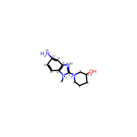 Cn1c(N2CCCC(O)C2)nc2cc(N)ccc21